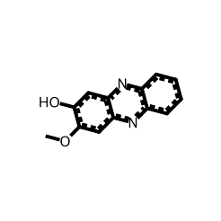 COc1cc2nc3ccccc3nc2cc1O